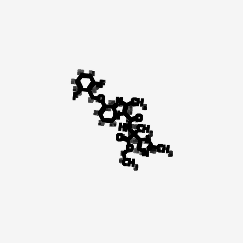 CCOC(=O)C(C)(NC(=O)c1c(C)nc2c(OCc3c(F)cccc3F)cccn12)c1cnc(C)s1